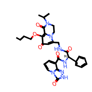 CCCCOc1c2n(c(CNC(=O)[C@H](NC(=O)c3cccn4c(=O)[nH]nc34)c3ccccc3)cc1=O)CCN(C(C)C)C2=O